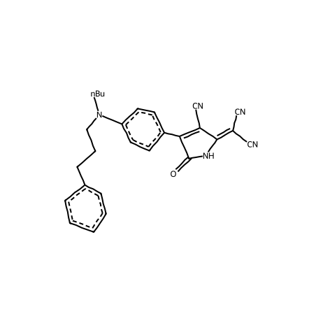 CCCCN(CCCc1ccccc1)c1ccc(C2=C(C#N)C(=C(C#N)C#N)NC2=O)cc1